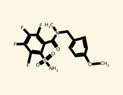 COc1ccc(CN(C)C(=O)c2c(F)c(F)c(F)c(F)c2S(N)(=O)=O)cc1